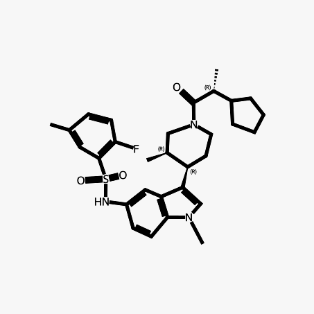 Cc1ccc(F)c(S(=O)(=O)Nc2ccc3c(c2)c([C@@H]2CCN(C(=O)[C@H](C)C4CCCC4)C[C@@H]2C)cn3C)c1